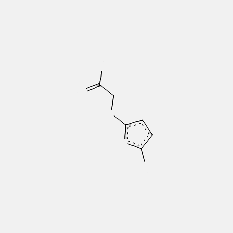 Cc1ccc(SCC(=O)O)s1